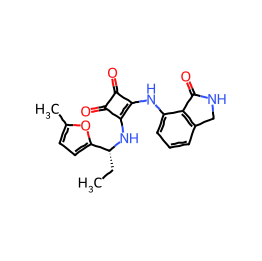 CC[C@@H](Nc1c(Nc2cccc3c2C(=O)NC3)c(=O)c1=O)c1ccc(C)o1